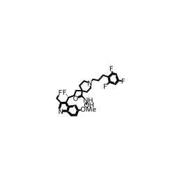 COc1ccc2ncc(CF)c([C@H](F)CCC3(C(=O)NO)CCN(CCCc4c(F)cc(F)cc4F)CC3)c2c1